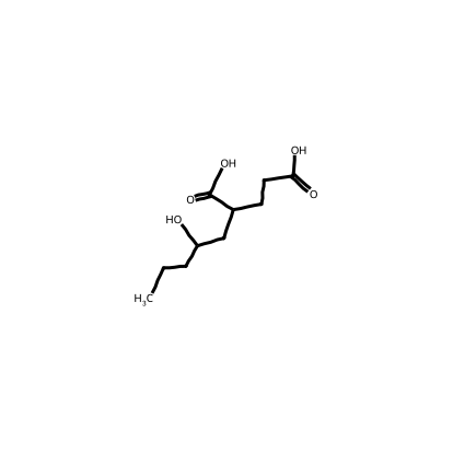 CCCC(O)CC(CCC(=O)O)C(=O)O